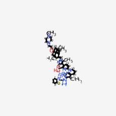 CC1=C(Nc2nc3ccccc3s2)NNC2=C1CCCN2c1ccc(-c2cnn(CC34CC5(C)CC6(OCCN7CCN(C)CC7)CC(C)(C3)C56C4)c2C)c(C(=O)O)n1